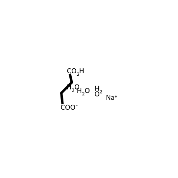 O.O.O.O=C([O-])CCC(=O)O.[Na+]